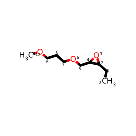 CCC1OC1COCCCOC